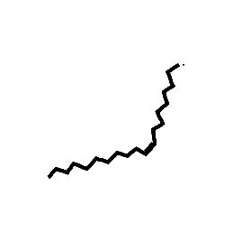 [CH2]CCCCCCC/C=C\CCCCCCCCCC